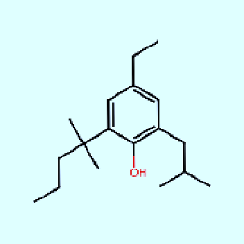 CCCC(C)(C)c1cc(CC)cc(CC(C)C)c1O